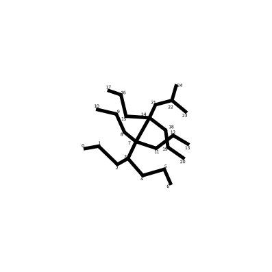 CCC[C](CCC)C(CCC)(CCC)C(CCC)(CCC)CC(C)C